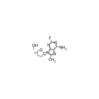 Cc1nc2c(N)nc(F)nc2n1[C@H]1CC[C@H](CO)O1